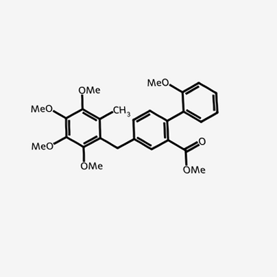 COC(=O)c1cc(Cc2c(C)c(OC)c(OC)c(OC)c2OC)ccc1-c1ccccc1OC